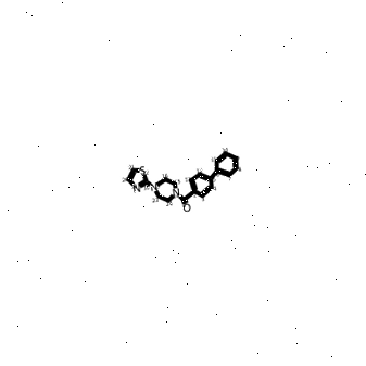 O=C(c1ccc(-c2ccccc2)cc1)N1CCN(c2nccs2)CC1